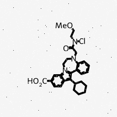 COCCN(Cl)C(=O)CN1CCn2c(c(C3CCCCC3)c3ccc(C(=O)O)cc32)-c2ccccc21